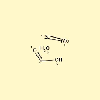 O.O=CO.[S]=[Mo]